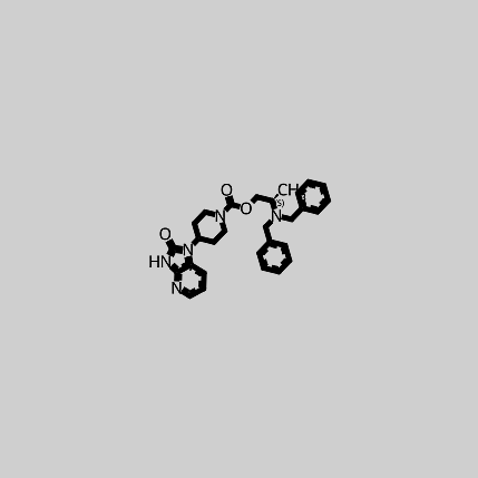 C[C@@H](COC(=O)N1CCC(n2c(=O)[nH]c3ncccc32)CC1)N(Cc1ccccc1)Cc1ccccc1